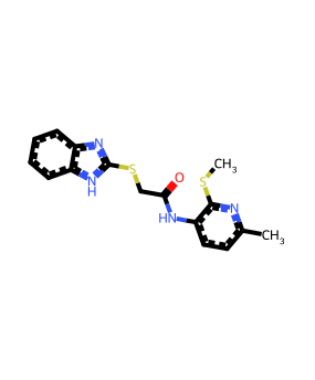 CSc1nc(C)ccc1NC(=O)CSc1nc2ccccc2[nH]1